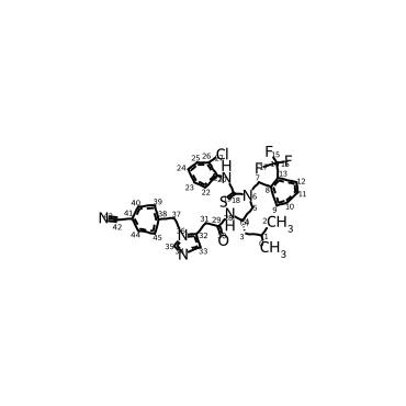 CC(C)C[C@@H](CN(Cc1ccccc1C(F)(F)F)C(=S)Nc1ccccc1Cl)NC(=O)Cc1cncn1Cc1ccc(C#N)cc1